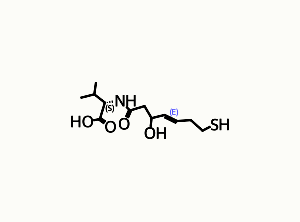 CC(C)[C@H](NC(=O)CC(O)/C=C/CCS)C(=O)O